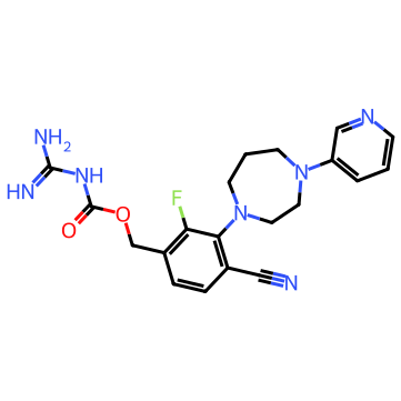 N#Cc1ccc(COC(=O)NC(=N)N)c(F)c1N1CCCN(c2cccnc2)CC1